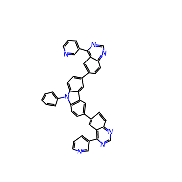 c1ccc(-n2c3ccc(-c4ccc5ncnc(-c6cccnc6)c5c4)cc3c3cc(-c4ccc5ncnc(-c6cccnc6)c5c4)ccc32)cc1